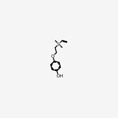 C=C[Si](C)(C)CCOc1ccc(O)cc1